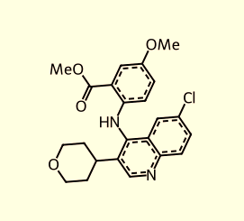 COC(=O)c1cc(OC)ccc1Nc1c(C2CCOCC2)cnc2ccc(Cl)cc12